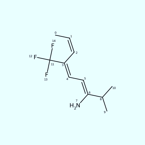 C\C=C/C(=C\C=C(/N)C(C)C)C(F)(F)F